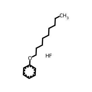 CCCCCCCCCOc1ccccc1.F